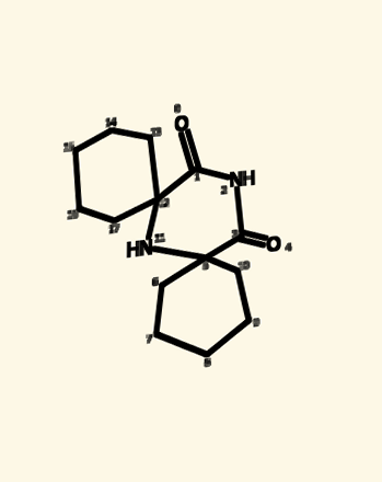 O=C1NC(=O)C2(CCCCC2)NC12CCCCC2